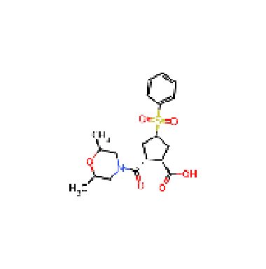 C[C@@H]1CN(C(=O)[C@@H]2C[C@@H](S(=O)(=O)c3ccccc3)C[C@H]2C(=O)O)C[C@H](C)O1